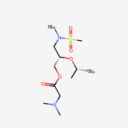 C[C@H](O[C@H](COC(=O)CN(C)C)CN(C(C)(C)C)S(C)(=O)=O)C(C)(C)C